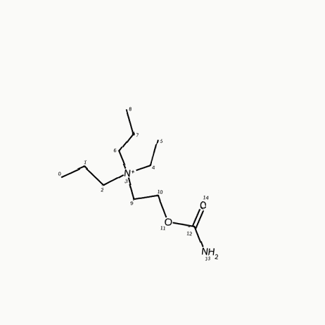 CCC[N+](CC)(CCC)CCOC(N)=O